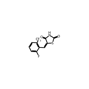 O=C1NC(=O)/C(=C\c2c(F)cccc2C(F)(F)F)S1